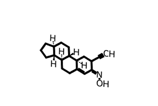 C#CC1C[C@H]2C(=CC1=NO)CC[C@H]1[C@@H]3CCC[C@H]3CC[C@@H]12